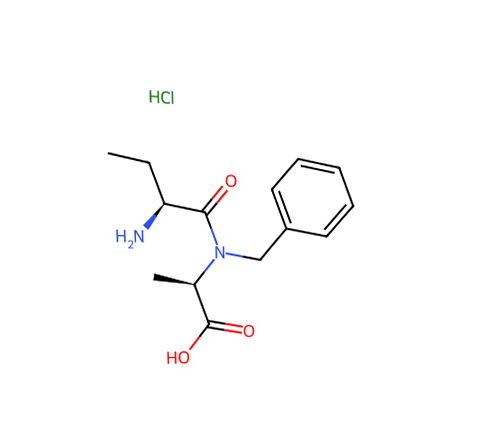 CC[C@H](N)C(=O)N(Cc1ccccc1)[C@H](C)C(=O)O.Cl